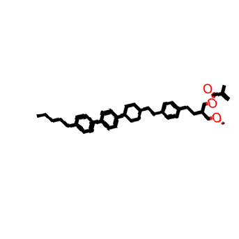 C=C(C)C(=O)OCC(CCc1ccc(CCC2CCC(c3ccc(-c4ccc(CCCCC)cc4)cc3)CC2)cc1)COC